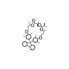 C=C(C)C(=O)OC(C)CCOc1c(C)cc(C2(c3cc(C)c(OCCC(C)OC(=O)C(=C)C)c(C)c3)c3ccccc3-c3ccccc32)cc1C